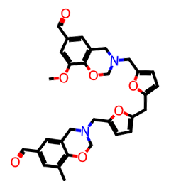 COc1cc(C=O)cc2c1OCN(Cc1ccc(Cc3ccc(CN4COc5c(C)cc(C=O)cc5C4)o3)o1)C2